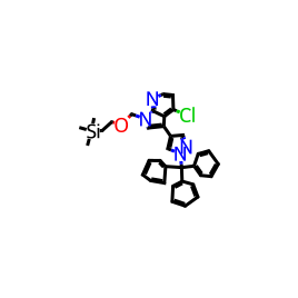 C[Si](C)(C)CCOCn1cc(-c2cnn(C(c3ccccc3)(c3ccccc3)c3ccccc3)c2)c2c(Cl)ccnc21